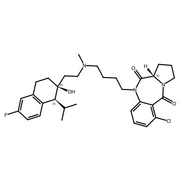 CC(C)[C@H]1c2ccc(F)cc2CC[C@]1(O)CCN(C)CCCCN1C(=O)[C@@H]2CCCN2C(=O)c2c(Cl)cccc21